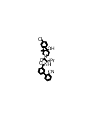 CC(C)[C@@H](NC(=O)c1cccc(-c2ccccc2C#N)c1)C(=O)N1CC[C@](O)(c2ccc(Cl)cc2)C(C)(C)C1